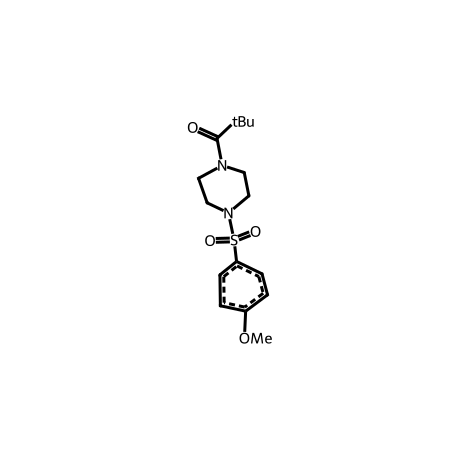 COc1ccc(S(=O)(=O)N2CCN(C(=O)C(C)(C)C)CC2)cc1